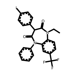 CCN1C(=O)C(c2ccc(I)cc2)C(=O)N(c2ccccc2)c2cc(C(F)(F)F)ccc21